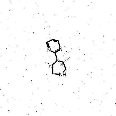 C[C@@H]1CNC[C@H](C)N1c1ncccn1